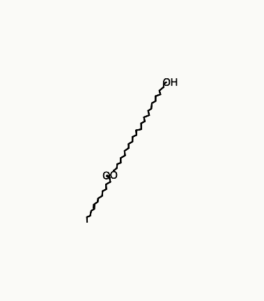 CCCCC=CCCCCCCCC(=O)OCCCCCCCCCCCCCCCCCCCCCCCCCCCO